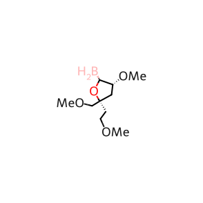 B[C@@H]1O[C@](CCOC)(COC)C[C@H]1OC